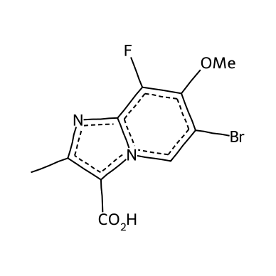 COc1c(Br)cn2c(C(=O)O)c(C)nc2c1F